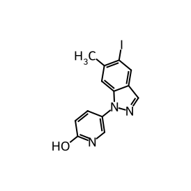 Cc1cc2c(cnn2-c2ccc(O)nc2)cc1I